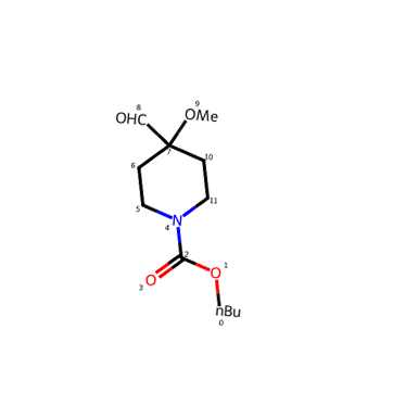 CCCCOC(=O)N1CCC(C=O)(OC)CC1